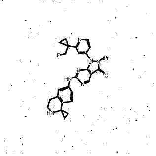 CC(C)n1c(=O)c2cnc(Nc3ccc4c(c3)CCNC43CC3)nc2n1-c1ccnc(C2(CF)CC2)c1